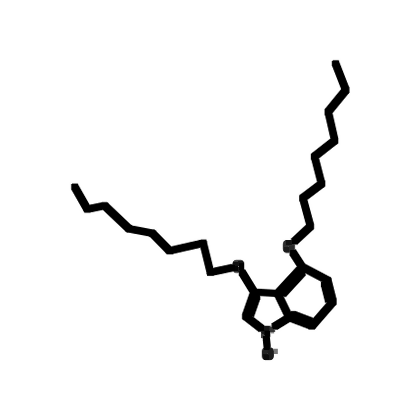 CCCCCCCCOc1cccc2c1c(OCCCCCCCC)c[s+]2[O-]